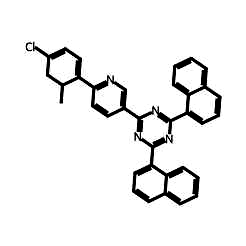 CC1CC(Cl)=CC=C1c1ccc(-c2nc(-c3cccc4ccccc34)nc(-c3cccc4ccccc34)n2)cn1